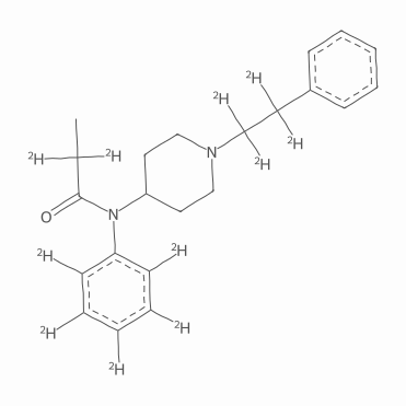 [2H]c1c([2H])c([2H])c(N(C(=O)C([2H])([2H])C)C2CCN(C([2H])([2H])C([2H])([2H])c3ccccc3)CC2)c([2H])c1[2H]